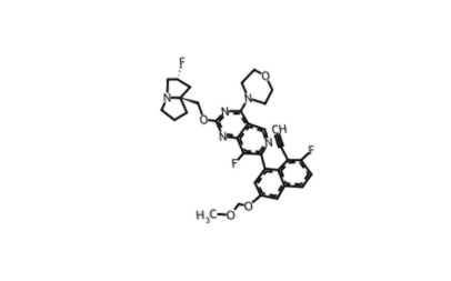 C#Cc1c(F)ccc2cc(OCOC)cc(-c3ncc4c(N5CCOCC5)nc(OC[C@@]56CCCN5C[C@H](F)C6)nc4c3F)c12